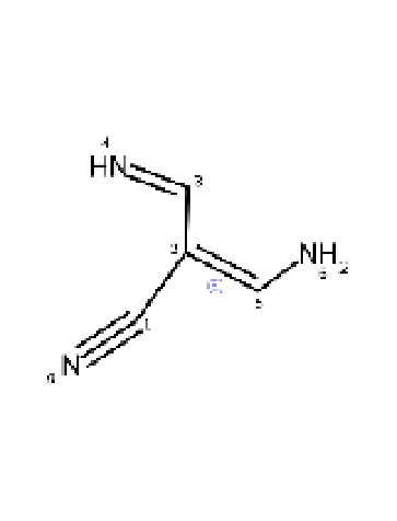 N#C/C(C=N)=C/N